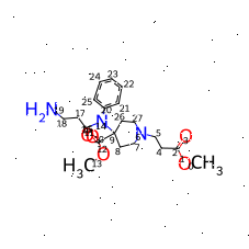 COC(=O)CCN1CCC(C(=O)OC)(N(C(=O)CCN)c2ccccc2)CC1